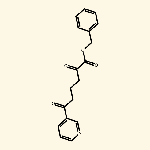 O=C(CCCC(=O)c1cccnc1)C(=O)OCc1ccccc1